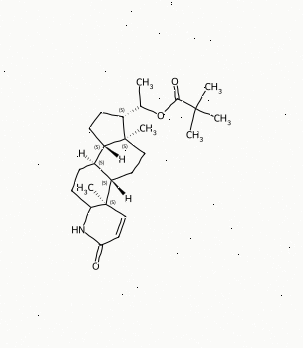 CC(OC(=O)C(C)(C)C)[C@H]1CC[C@H]2[C@@H]3CCC4NC(=O)C=C[C@]4(C)[C@H]3CC[C@]12C